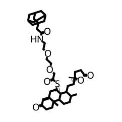 CC1CCC2C(C1CC[C@]1(C)CCC(=O)O1)[C@H](SC(=O)COCCOCCNC(=O)CC13CC4CC(CC(C4)C1)C3)CC1=CC(=O)CCC12C